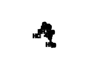 COc1cc(C(=O)N(C)c2ccc(C)cc2OCCCCNC(C)=O)ccc1NC(=O)c1ccccc1OCCCN.Cl